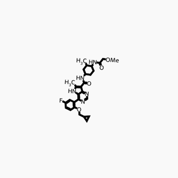 COCC(=O)NC1CCC(NC(=O)c2c(C)[nH]c3c(-c4cc(F)ccc4OCC4CC4)ncnc23)CC1C